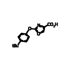 CC(C)(C)c1ccc(Oc2nc(C(=O)O)co2)cc1